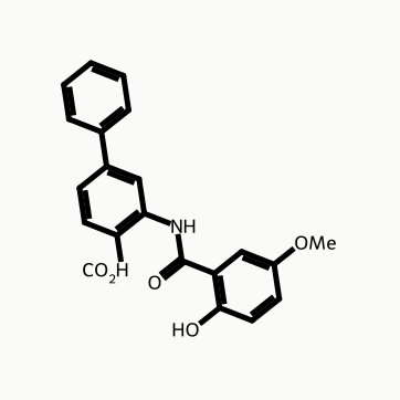 COc1ccc(O)c(C(=O)Nc2cc(-c3ccccc3)ccc2C(=O)O)c1